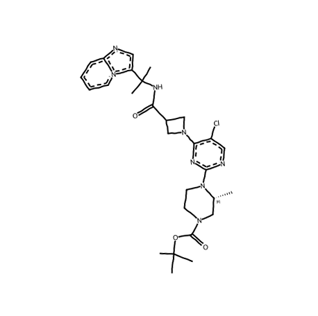 C[C@@H]1CN(C(=O)OC(C)(C)C)CCN1c1ncc(Cl)c(N2CC(C(=O)NC(C)(C)c3cnc4ccccn34)C2)n1